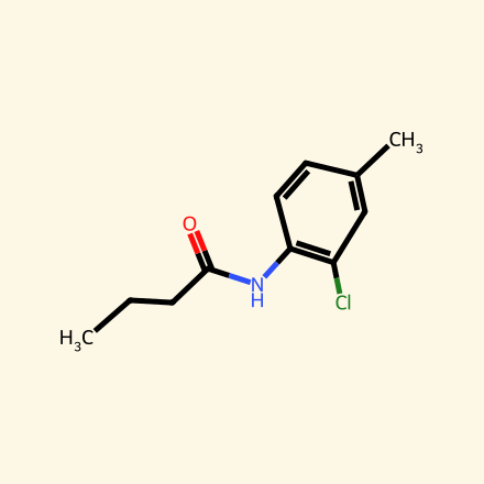 CCCC(=O)Nc1ccc(C)cc1Cl